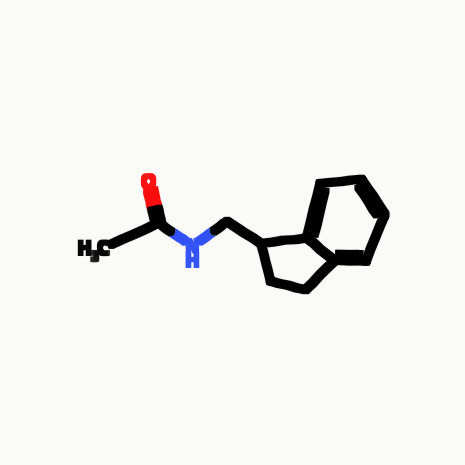 CC(=O)NCC1CCc2ccccc21